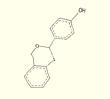 Oc1ccc(C2OCc3ccccc3S2)cc1